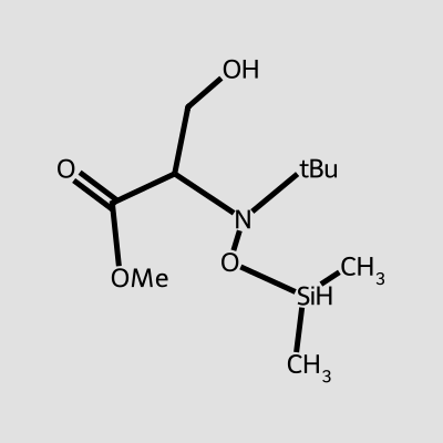 COC(=O)C(CO)N(O[SiH](C)C)C(C)(C)C